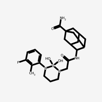 Cc1c(F)cccc1N1CCCN(CC(=O)NC2C3CC4CC2CC(C(N)=O)(C4)C3)S1(O)O